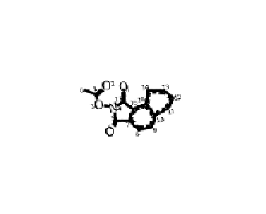 CC(=O)ON1C(=O)c2ccc3ccccc3c2C1=O